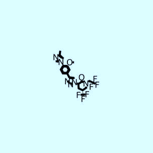 COc1cc(-c2cn(C3C[C@@H](C(F)(F)F)CN(CC(F)(F)F)C3=O)nn2)ccc1-n1cnc(C)c1